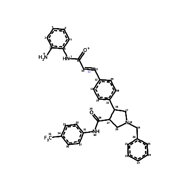 Nc1ccccc1NC(=O)/C=C/c1ccc(C2CN(Cc3ccccc3)CC2C(=O)Nc2ccc(C(F)(F)F)cc2)cc1